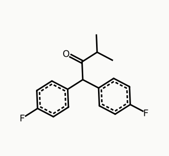 CC(C)C(=O)C(c1ccc(F)cc1)c1ccc(F)cc1